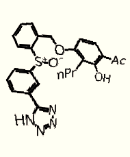 CCCc1c(OCc2ccccc2[S+]([O-])c2cccc(-c3nnn[nH]3)c2)ccc(C(C)=O)c1O